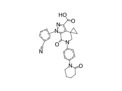 N#Cc1cccc(-n2nc(C(=O)O)c3c2C(=O)N(c2ccc(N4CCCCC4=O)cc2)CC32CC2)c1